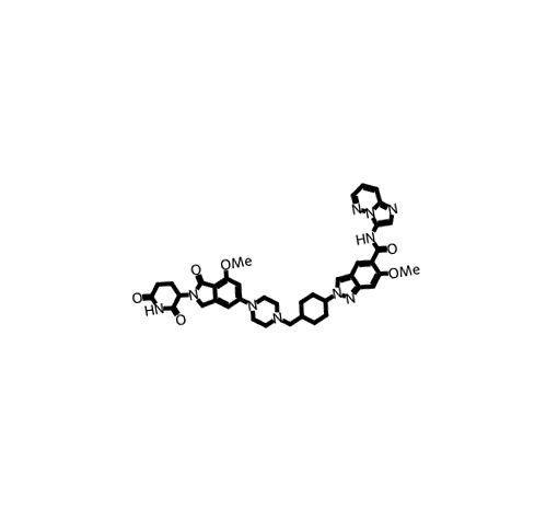 COc1cc2nn(C3CCC(CN4CCN(c5cc6c(c(OC)c5)C(=O)N(C5CCC(=O)NC5=O)C6)CC4)CC3)cc2cc1C(=O)Nc1cnc2cccnn12